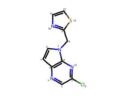 Clc1cnc2ccn(Cc3nccs3)c2n1